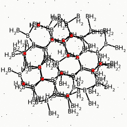 BB(B)B(B)B(B(B(B)B)B(B)B)B(B(B(B(B)B)B(B)B)B(B(B)B)B(B)B)B(B(B(B(B)B)B(B)B)B(B(B)B)B(B)B)B(B(B(B(B(B)B)B(B)B)B(B(B)B)B(B)B)B(B(B(B)B)B(B)B)B(B(B)B)B(B)B)B(B(B(B(B)B)B(B)B)B(B(B)B)B(B)B)B(B(B(B)B)B(B)B)B(B(B)B)B(B)B